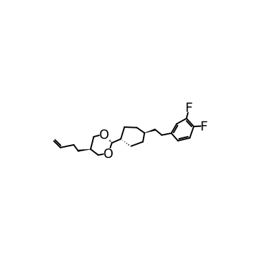 C=CCC[C@H]1CO[C@H]([C@H]2CC[C@H](CCc3ccc(F)c(F)c3)CC2)OC1